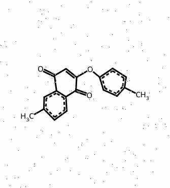 Cc1ccc(OC2=CC(=O)c3cc(C)ccc3C2=O)cc1